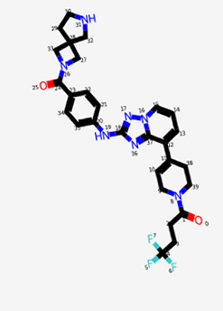 O=C(CCC(F)(F)F)N1CC=C(c2cccn3nc(Nc4ccc(C(=O)N5CC6(CCNC6)C5)cc4)nc23)CC1